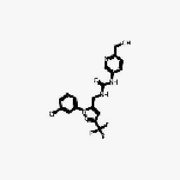 O=C(NCc1cc(C(F)(F)F)nn1-c1cccc(Cl)c1)Nc1ccc(CO)nc1